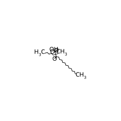 CCCCCCCCCCCCCC(=O)C(CC)(CCCCCC)C(=O)OO